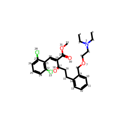 CCN(CC)CCOCc1ccccc1CCC(=O)C(=Cc1c(Cl)cccc1Cl)C(=O)OC